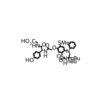 CCCCC1(CCCC)CN(c2ccccc2)c2cc(SC)c(OCC(=O)N[C@@H](C(=O)NCC(=O)O)c3ccc(O)cc3)cc2S(=O)(=O)N1